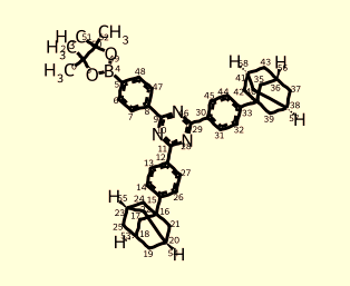 CC1(C)OB(c2ccc(-c3nc(-c4ccc(C56C[C@H]7C[C@@H](C5)C[C@@H](C6)C7)cc4)nc(-c4ccc(C56C[C@H]7C[C@@H](C5)C[C@@H](C6)C7)cc4)n3)cc2)OC1(C)C